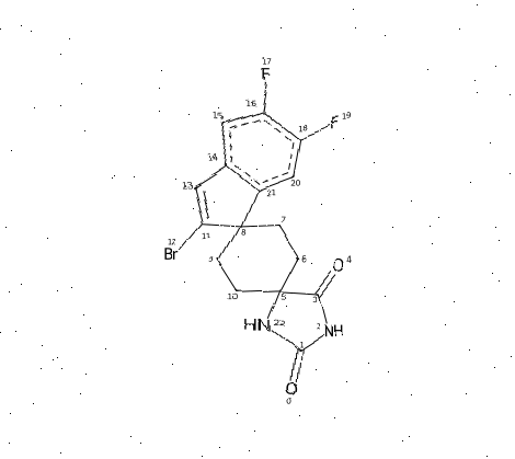 O=C1NC(=O)C2(CCC3(CC2)C(Br)=Cc2cc(F)c(F)cc23)N1